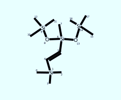 C[Si](C)(C)C=C[Si](C)(O[Si](C)(C)C)O[Si](C)(C)C